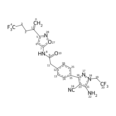 C=C(CCC(F)(F)F)c1cc(NC(=O)Cc2ccc(-c3nn(CC(F)(F)F)c(N)c3C#N)cc2)on1